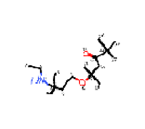 CCNC(C)(C)CCOC(C)(C)CC(=O)C(C)(C)C